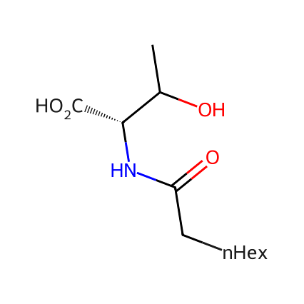 CCCCCCCC(=O)N[C@H](C(=O)O)C(C)O